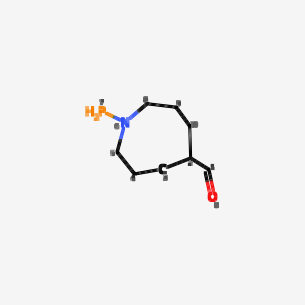 O=CC1CCCN(P)CCC1